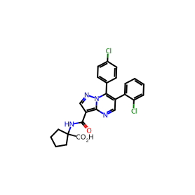 O=C(NC1(C(=O)O)CCCC1)c1cnn2c(-c3ccc(Cl)cc3)c(-c3ccccc3Cl)cnc12